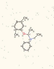 CCN(c1ccccc1)C(C)Oc1cc(C)ccc1C